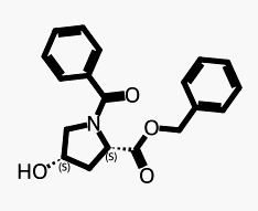 O=C(OCc1ccccc1)[C@@H]1C[C@H](O)CN1C(=O)c1ccccc1